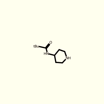 CC(C)(C)C(=O)NC1CCNCC1